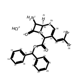 Cl.NC1C(=O)N2C(C(=O)OC(c3ccccc3)c3ccccc3)C(C=C(Br)Br)=CS[C@H]12